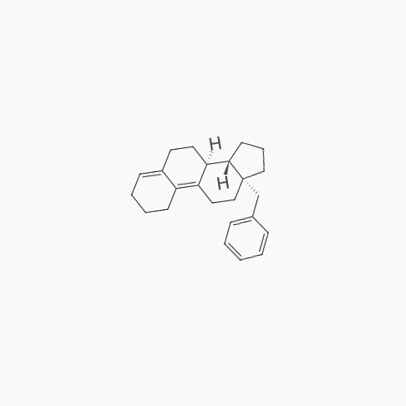 C1=C2CC[C@@H]3C(=C2CCC1)CC[C@]1(Cc2ccccc2)CCC[C@@H]31